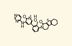 Cn1cc(-c2cccc(N3CCc4c(sc5c4CCCC5)C3=O)c2CO)cc(Nc2ccncn2)c1=O